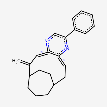 C=C1/C=c2/ncc(-c3ccccc3)n/c2=C/CC2CCCC1CC2